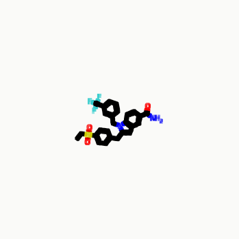 CCS(=O)(=O)c1ccc(Cc2cc3cc(C(N)=O)ccc3n2Cc2cccc(C(F)(F)F)c2)cc1